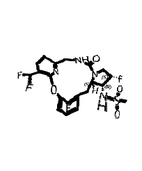 CS(=O)(=O)N[C@H]1[C@@H](F)CN2C(=O)NCc3ccc(C(F)F)c(n3)Oc3cccc(c3F)C[C@@H]12